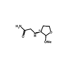 COC1OCC[C@@H]1NCC(N)=O